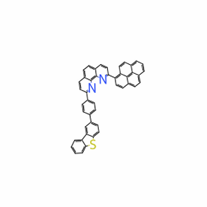 c1cc2ccc3ccc(-c4ccc5ccc6ccc(-c7ccc(-c8ccc9sc%10ccccc%10c9c8)cc7)nc6c5n4)c4ccc(c1)c2c34